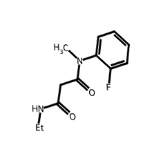 CCNC(=O)CC(=O)N(C)c1ccccc1F